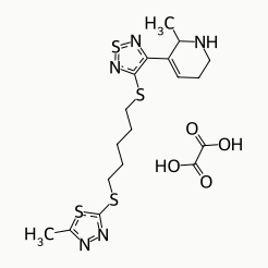 Cc1nnc(SCCCCCSc2nsnc2C2=CCCNC2C)s1.O=C(O)C(=O)O